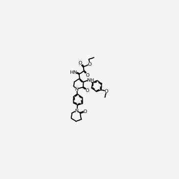 CCOC(=O)C(=O)C(=N)C1=C(Nc2ccc(OC)cc2)C(=O)N(c2ccc(N3CCCCC3=O)cc2)CC1